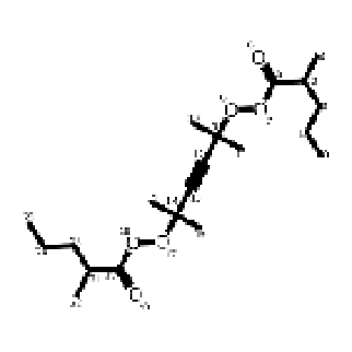 CCCC(C)C(=O)OOC(C)(C)C#CC(C)(C)OOC(=O)C(C)CCC